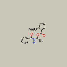 CCC(NC(=O)c1ccccc1)OC(=O)c1ccccc1OC